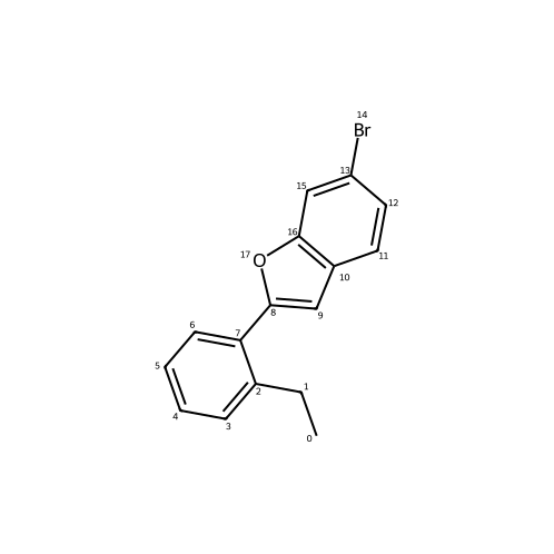 CCc1ccccc1-c1cc2ccc(Br)cc2o1